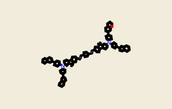 CC1(C)c2cc(/C=C/c3ccc(/C=C/c4ccc5c(c4)C(C)(C)c4cc(N(c6ccc(-c7ccc8ccccc8c7)cc6)c6ccc(-c7ccc8ccccc8c7)cc6)ccc4-5)cc3)ccc2-c2ccc(N(c3ccc(-c4ccc5ccccc5c4)cc3)c3ccc(-c4ccc5ccccc5c4)cc3)cc21